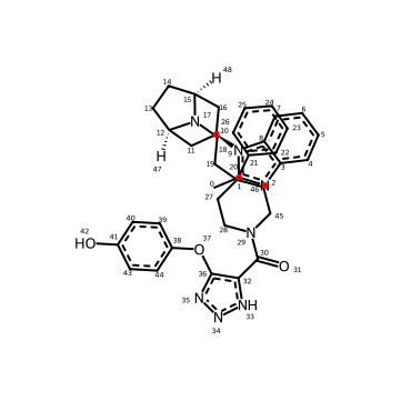 Cc1nc2ccccc2n1[C@H]1C[C@H]2CC[C@@H](C1)N2CCC1(c2ccccc2)CCN(C(=O)c2[nH]nnc2Oc2ccc(O)cc2)CC1